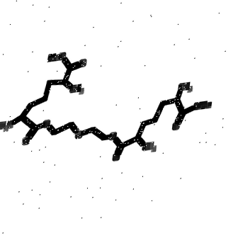 COC(=O)C(C)CCCC(C)C(=O)OCCOCCOC(=O)C(C)CCCC(C)C(=O)OC